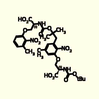 Cc1cc(CC(C)(C)OC(=O)N[C@@H](COc2cccc(C)c2[N+](=O)[O-])C(=O)O)c([N+](=O)[O-])c(OC[C@H](NC(=O)OC(C)(C)C)C(=O)O)c1